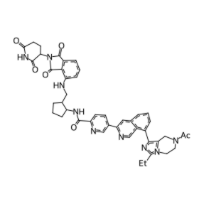 CCc1nc(-c2cccc3cc(-c4ccc(C(=O)NC5CCCC5CNc5cccc6c5C(=O)N(C5CCC(=O)NC5=O)C6=O)nc4)ncc23)c2n1CCN(C(C)=O)C2